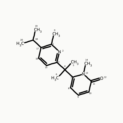 Cc1nc(C(C)(C)c2cccc(=O)n2C)ccc1C(C)C